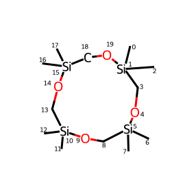 C[Si]1(C)CO[Si](C)(C)CO[Si](C)(C)CO[Si](C)(C)CO1